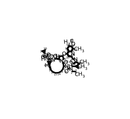 CCCN(CC1CC1)C(=O)N[C@H]1CCCCC/C=C\[C@@H]2C[C@@]2(C(=O)NS(=O)(=O)C2CC2)NC(=O)[C@@H]2C[C@@H](Oc3cc(-c4nc(C(C)C)cs4)nc4c(C)c(OC)ccc34)CN2C1=O